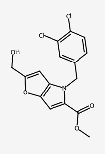 COC(=O)c1cc2oc(CO)cc2n1Cc1ccc(Cl)c(Cl)c1